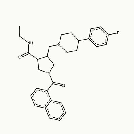 CCNC(=O)C1CN(C(=O)c2cccc3ccccc23)CC1CN1CCC(c2ccc(F)cc2)CC1